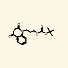 CC(C)(C)OC(=O)NCCCn1c(=O)oc(=O)c2ccccc21